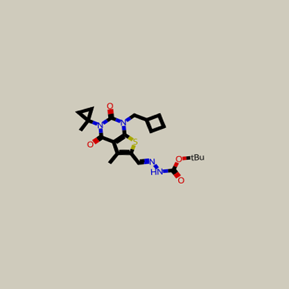 Cc1c(C=NNC(=O)OC(C)(C)C)sc2c1c(=O)n(C1(C)CC1)c(=O)n2CC1CCC1